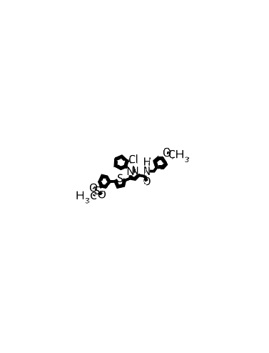 COc1ccc(CNC(=O)c2cc(-c3ccc(-c4cccc(S(C)(=O)=O)c4)s3)n(-c3ccccc3Cl)n2)cc1